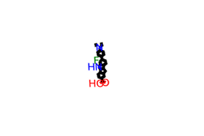 CCN(CC)c1ccc(-c2ccc3c4c([nH]c3c2F)-c2ccc(C(=O)O)cc2C4)cc1